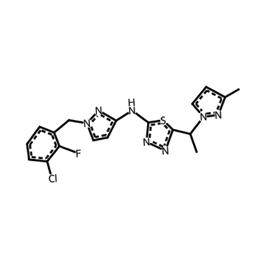 Cc1ccn(C(C)c2nnc(Nc3ccn(Cc4cccc(Cl)c4F)n3)s2)n1